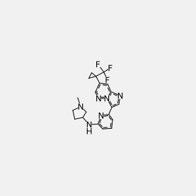 CN1CCC(Nc2cccc(-c3cnc4cc(C5(C(F)(F)F)CC5)cnn34)n2)C1